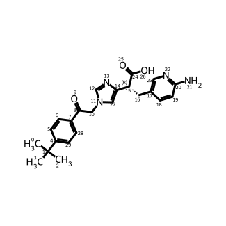 CC(C)(C)c1ccc(C(=O)Cn2cnc([C@@H](Cc3ccc(N)nc3)C(=O)O)c2)cc1